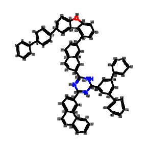 c1ccc(-c2ccc(-c3ccc4oc5cccc(-c6ccc7ccc(C8=NC(c9ccc%10ccc%11ccccc%11c%10c9)=NC(c9cc(-c%10ccccc%10)cc(-c%10ccccc%10)c9)N8)cc7c6)c5c4c3)cc2)cc1